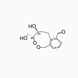 O=Cc1cccc2c1CC[C@H](O)[C@@H](CO)OOC2